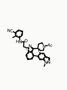 CC(=O)N1CCC(c2nn(CC(=O)Nc3cccc(C#N)c3C)c3cccc(-c4cc5c(cnn5C)cc4F)c23)CC1